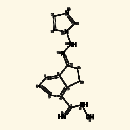 N=C(NO)c1cccc2c1CCC2=NNn1ccnc1